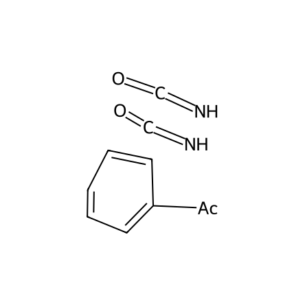 CC(=O)c1ccccc1.N=C=O.N=C=O